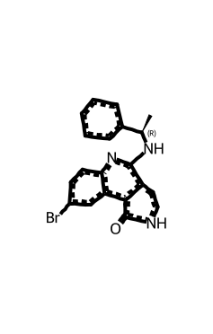 C[C@@H](Nc1nc2ccc(Br)cc2c2c(=O)[nH]ccc12)c1ccccc1